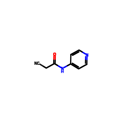 N#CCC(=O)Nc1ccncc1